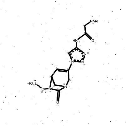 CNCC(=O)Nc1cn(C2=CC3CN(C2)C(=O)N3OS(=O)(=O)O)nn1